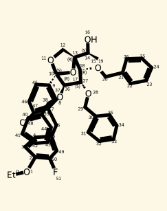 CCOc1ccc(Cc2cc([C@]34OC[C@]([C@H](C)O)(O3)[C@H](OCc3ccccc3)[C@H](OCc3ccccc3)[C@H]4OCc3ccccc3)ccc2Cl)cc1F